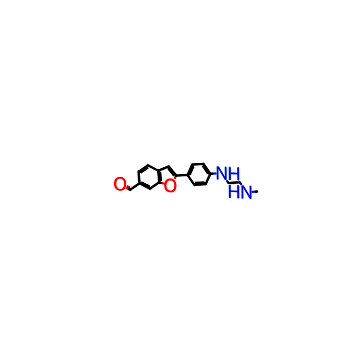 CNCCNc1ccc(-c2cc3ccc(C=O)cc3o2)cc1